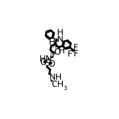 CCNCCCS(=O)(=O)NC[C@H]1CC[C@@H]2[C@H](O1)c1cc(C(F)(F)F)ccc1N[C@H]2c1ccccc1